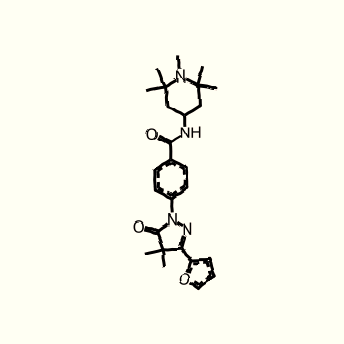 CN1C(C)(C)CC(NC(=O)c2ccc(N3N=C(c4ccco4)C(C)(C)C3=O)cc2)CC1(C)C